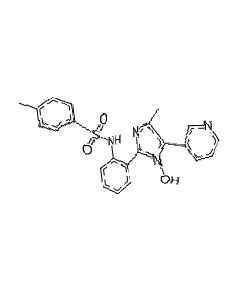 Cc1ccc(S(=O)(=O)Nc2ccccc2-c2nc(C)c(-c3cccnc3)n2O)cc1